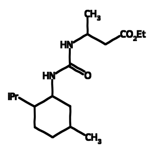 CCOC(=O)CC(C)NC(=O)NC1CC(C)CCC1C(C)C